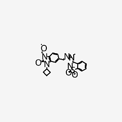 COCn1c(=O)n(C2CCC2)c2cc(/C=N/N(C)C3=NS(=O)(=O)c4ccccc43)ccc21